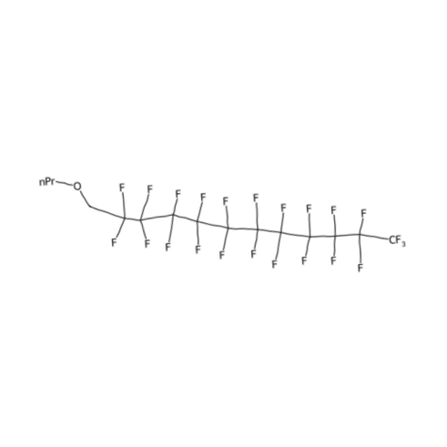 [CH2]CCOCC(F)(F)C(F)(F)C(F)(F)C(F)(F)C(F)(F)C(F)(F)C(F)(F)C(F)(F)C(F)(F)C(F)(F)C(F)(F)F